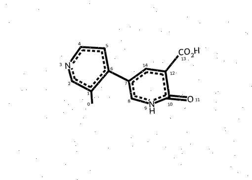 Cc1cnccc1-c1c[nH]c(=O)c(C(=O)O)c1